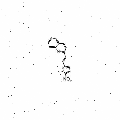 O=[N+]([O-])c1ccc(C=Cc2ccc3ccccc3n2)s1